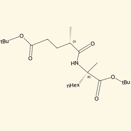 CCCCCC[C@@](C)(NC(=O)[C@@H](C)CCC(=O)OC(C)(C)C)C(=O)OC(C)(C)C